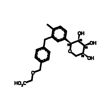 Cc1ccc([C@@H]2OC[C@@H](O)[C@H](O)[C@H]2O)cc1Cc1ccc(COCC(=O)O)cc1